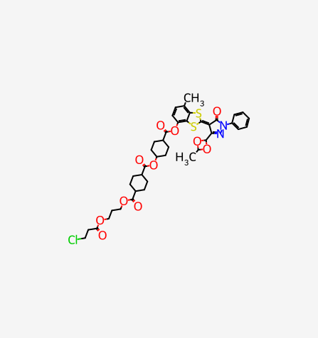 Cc1ccc(OC(=O)C2CCC(OC(=O)C3CCC(C(=O)OCCCOC(=O)CCCl)CC3)CC2)c2c1S/C(=C1\C(=O)N(c3ccccc3)N=C1C1OC(C)O1)S2